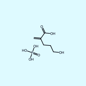 C=C(CCCO)C(=O)O.O=P(O)(O)O